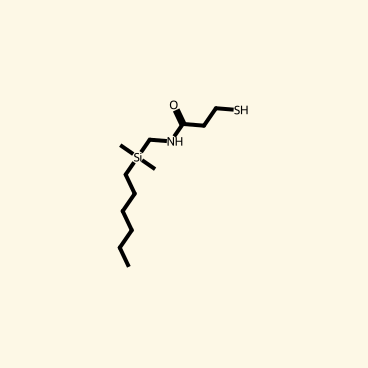 CCCCCC[Si](C)(C)CNC(=O)CCS